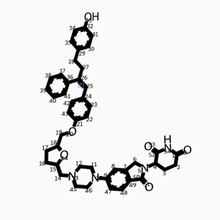 O=C1CCC(N2Cc3cc(N4CCN(CC5CCC(COc6ccc(/C=C(/CCc7ccc(O)cc7)c7ccccc7)cc6)O5)CC4)ccc3C2=O)C(=O)N1